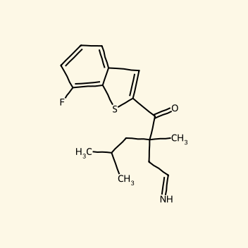 CC(C)CC(C)(CC=N)C(=O)c1cc2cccc(F)c2s1